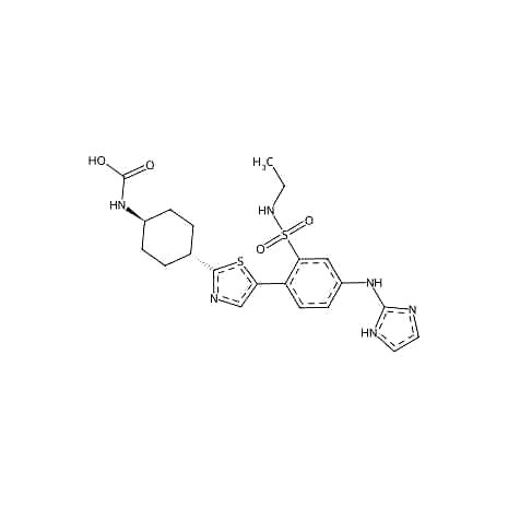 CCNS(=O)(=O)c1cc(Nc2ncc[nH]2)ccc1-c1cnc([C@H]2CC[C@H](NC(=O)O)CC2)s1